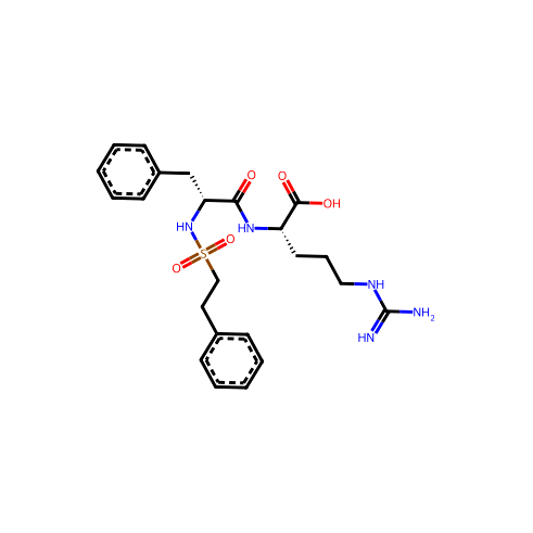 N=C(N)NCCC[C@H](NC(=O)[C@@H](Cc1ccccc1)NS(=O)(=O)CCc1ccccc1)C(=O)O